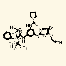 C#CCOc1nc(Nc2cc(NC(=O)N3CCCC3)cc(NC(=O)[C@](Cc3ccccc3)(NC(=O)O)OC(C)(C)C)c2)ncc1Br